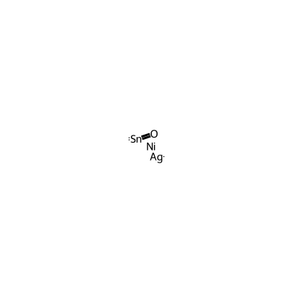 [Ag].[Ni].[O]=[Sn]